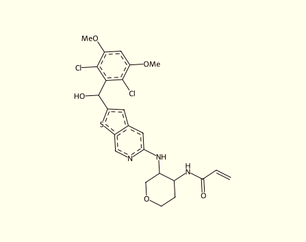 C=CC(=O)NC1CCOCC1Nc1cc2cc(C(O)c3c(Cl)c(OC)cc(OC)c3Cl)sc2cn1